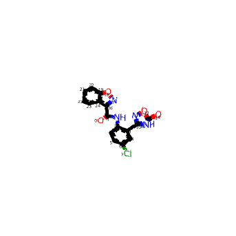 O=C(Nc1ccc(Cl)cc1-c1noc(=O)[nH]1)c1noc2ccccc12